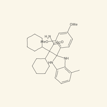 COc1ccc(C2(C(C(N)=O)(C3CCCCC3)C3CCCCC3)Nc3cccc(C)c3N2)c(OC)c1